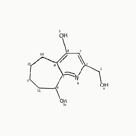 OCc1cc(O)c2c(n1)C(O)CCCC2